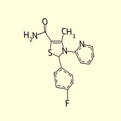 CC1=C(C(N)=O)SC(c2ccc(F)cc2)N1c1ccccn1